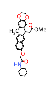 COC(=O)CC(c1ccc2ccc(OCC(=O)NC3CCCCC3)cc2c1)c1cc2c(cc1C)OCCO2